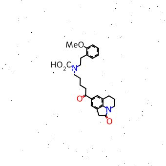 COc1ccccc1CCN(CCCCC(=O)c1cc2c3c(c1)CC(=O)N3CCC2)C(=O)O